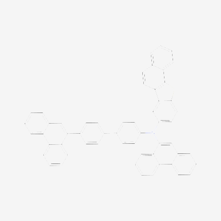 c1ccc2c(c1)cc(-c1ccc(-c3ccc(N(c4ccc5sc6c7ccccc7ccc6c5c4)c4cc5ccccc5c5ccccc45)cc3)cc1)c1ccccc12